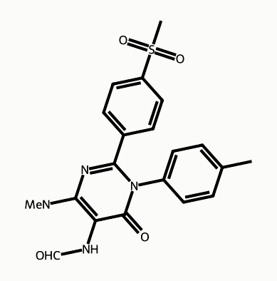 CNc1nc(-c2ccc(S(C)(=O)=O)cc2)n(-c2ccc(C)cc2)c(=O)c1NC=O